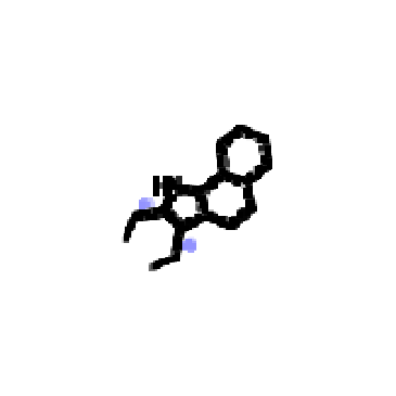 C/C=c1\c(=C/C)[nH]c2c1ccc1ccccc12